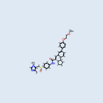 CCCCOCCOc1ccc(C2=CC(/C=C/C(=O)Nc3ccc([S@@+]([O-])Cc4c(C)ncn4CC)cc3)C(C3CCCC3)C=C2)cc1